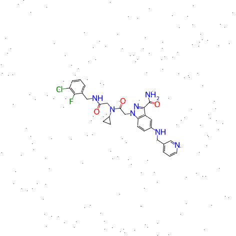 NC(=O)c1nn(CC(=O)N(CC(=O)NCc2cccc(Cl)c2F)C2CC2)c2ccc(NCc3cccnc3)cc12